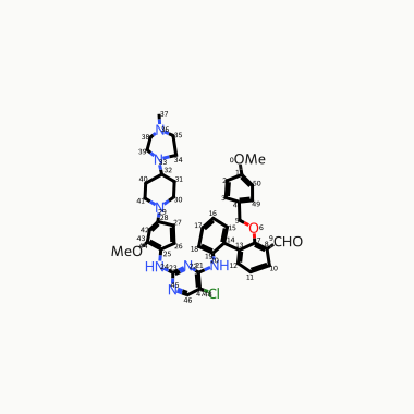 COc1ccc(COc2c(C=O)cccc2-c2ccccc2Nc2nc(Nc3ccc(N4CCC(N5CCN(C)CC5)CC4)cc3OC)ncc2Cl)cc1